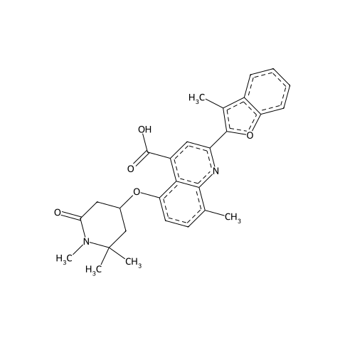 Cc1c(-c2cc(C(=O)O)c3c(OC4CC(=O)N(C)C(C)(C)C4)ccc(C)c3n2)oc2ccccc12